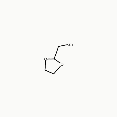 [Zn][CH2]C1OCCO1